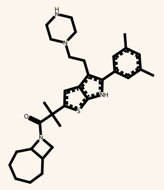 Cc1cc(C)cc(-c2[nH]c3sc(C(C)(C)C(=O)N4CC5CCCCCC54)cc3c2CCN2CCNCC2)c1